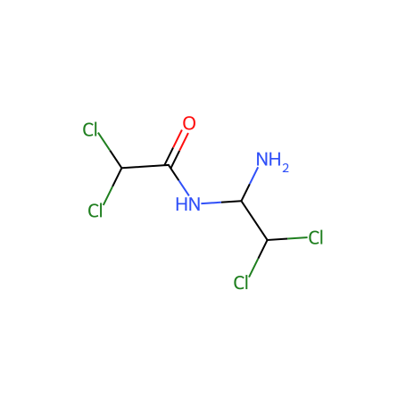 NC(NC(=O)C(Cl)Cl)C(Cl)Cl